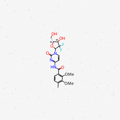 COc1c(C)ccc(C(=O)Nc2ccn(C3O[C@H](CO)[C@@H](O)C3(F)F)c(=O)n2)c1OC